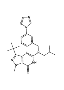 CC(C)CN(Cc1cccc(-n2cncn2)c1)c1nc2c(C(C)(C)C)nn(C)c2c(=O)[nH]1